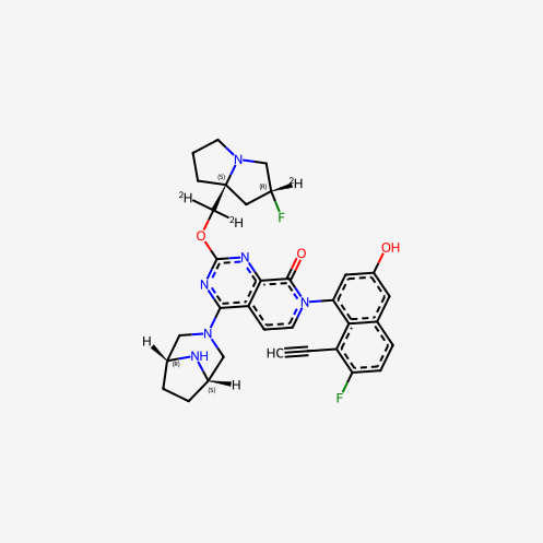 [2H]C([2H])(Oc1nc(N2C[C@H]3CC[C@@H](C2)N3)c2ccn(-c3cc(O)cc4ccc(F)c(C#C)c34)c(=O)c2n1)[C@@]12CCCN1C[C@]([2H])(F)C2